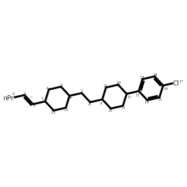 CCC/C=C/C1CCC(CCC2CCC(c3ccc(Cl)cc3)CC2)CC1